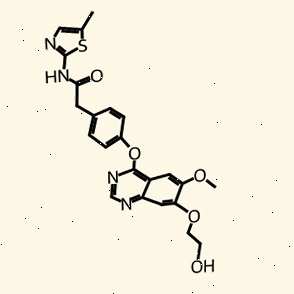 COc1cc2c(Oc3ccc(CC(=O)Nc4ncc(C)s4)cc3)ncnc2cc1OCCO